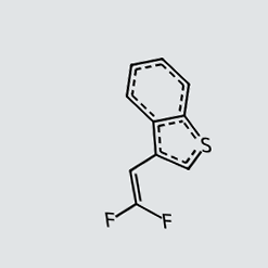 FC(F)=Cc1csc2ccccc12